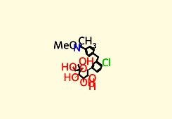 CON=C(C)c1ccc(Cc2cc([C@@H]3OC(CO)(CO)[C@@H](O)[C@H](O)[C@H]3O)ccc2Cl)cc1